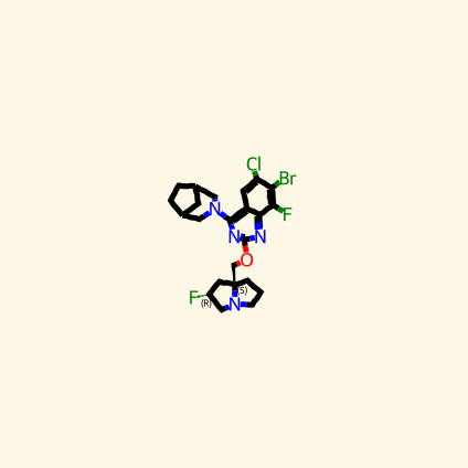 Fc1c(Br)c(Cl)cc2c(N3CC4CCC(C4)C3)nc(OC[C@@]34CCCN3C[C@H](F)C4)nc12